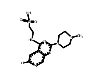 CN1CCN(c2nc(NCCS(N)(=O)=O)c3cc(Cl)ncc3n2)CC1